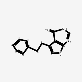 O=c1[nH]cnc2scc(CCc3ccccc3)c12